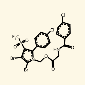 O=C(CNC(=O)c1ccc(Cl)cc1)OCn1c(Br)c(Br)c(S(=O)(=O)C(F)(F)F)c1-c1ccc(Cl)cc1